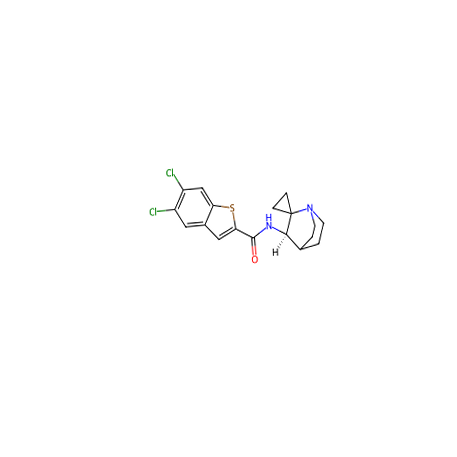 O=C(N[C@@H]1C2CCN(CC2)C12CC2)c1cc2cc(Cl)c(Cl)cc2s1